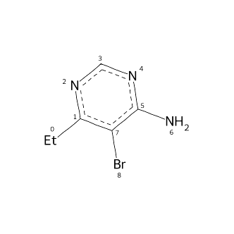 CCc1ncnc(N)c1Br